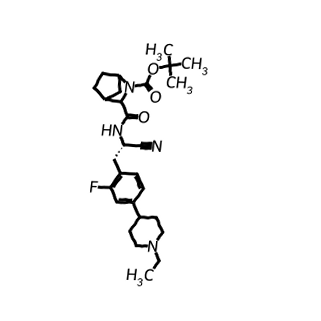 CCN1CCC(c2ccc(C[C@@H](C#N)NC(=O)C3C4CCC(C4)N3C(=O)OC(C)(C)C)c(F)c2)CC1